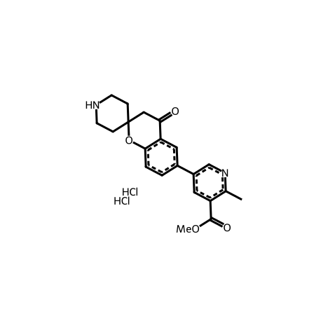 COC(=O)c1cc(-c2ccc3c(c2)C(=O)CC2(CCNCC2)O3)cnc1C.Cl.Cl